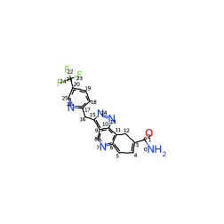 NC(=O)C1=CC=c2ncc3c(c2C1)N=NC=3Cc1ccc(C(F)(F)F)cn1